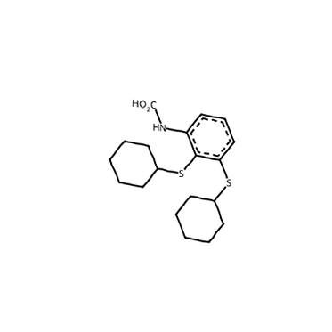 O=C(O)Nc1cccc(SC2CCCCC2)c1SC1CCCCC1